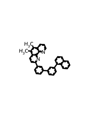 Cc1c(C)c2ccc(-c3cccc(-c4cccc(-c5cccc6ccccc56)c4)c3)nc2c2ncccc12